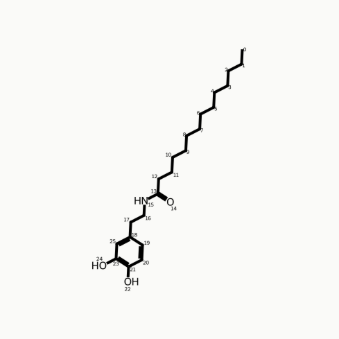 CCCCCCCCCCCCCC(=O)NCCc1ccc(O)c(O)c1